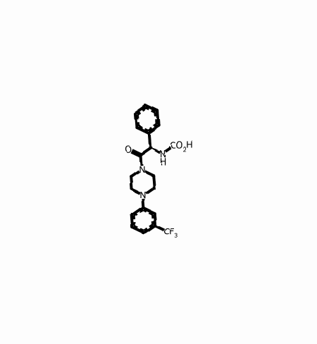 O=C(O)N[C@@H](C(=O)N1CCN(c2cccc(C(F)(F)F)c2)CC1)c1ccccc1